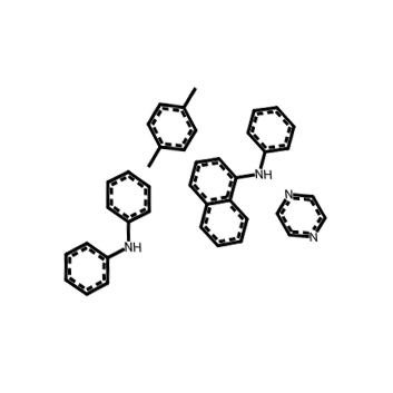 Cc1ccc(C)cc1.c1ccc(Nc2cccc3ccccc23)cc1.c1ccc(Nc2ccccc2)cc1.c1cnccn1